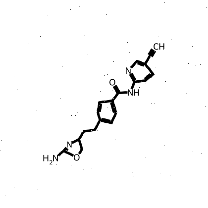 C#Cc1ccc(NC(=O)c2ccc(CCC3COC(N)=N3)cc2)nc1